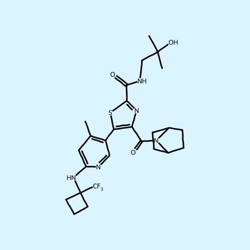 Cc1cc(NC2(C(F)(F)F)CCC2)ncc1-c1sc(C(=O)NCC(C)(C)O)nc1C(=O)N1C2CCC1CC2